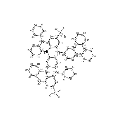 CC(C)(C)c1cc2c3c(c1)N(c1ccccc1)c1cc4c(cc1B3c1ccccc1O2)B1c2ccccc2N(c2ccccc2)c2cc(C(C)(C)C)cc(c21)N4c1ccc2c3ccccc3c3ccccc3c2c1